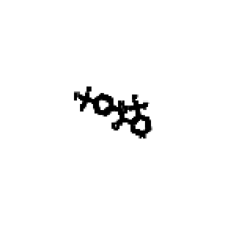 O=C(Nc1ccc(C(F)(F)F)cc1)c1cnccc1C(F)(F)F